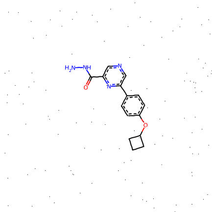 NNC(=O)c1cncc(-c2ccc(OC3CCC3)cc2)n1